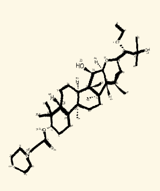 CCO[C@@H]([C@H]1C[C@@H](C)[C@H]2[C@H](O1)[C@H](O)[C@@]1(C)[C@@H]3CC[C@@H]4C(CC[C@H](OC(=O)N5CCOCC5)C4(C)C)[C@]3(C)CC[C@]21C)C(C)(C)O